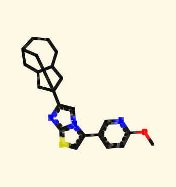 COc1ccc(-c2csc3nc(C45CC6CCCC(C4)C(C6)C5)cn23)cn1